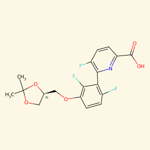 CC1(C)OC[C@H](COc2ccc(F)c(-c3nc(C(=O)O)ccc3F)c2F)O1